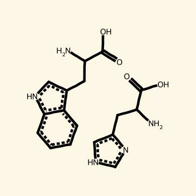 NC(Cc1c[nH]c2ccccc12)C(=O)O.NC(Cc1c[nH]cn1)C(=O)O